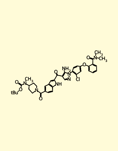 CN(C)C(=O)c1ccccc1Oc1ccc(-n2ncc(C(=O)c3cc4cc(C(=O)N5CCC(N(C)C(=O)OC(C)(C)C)CC5)ccc4[nH]3)c2N)c(Cl)c1